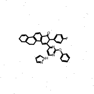 O=C1c2ccc3c(c2C=C(c2ccnc(Oc4ccccc4)n2)C1c1ccc(F)cc1)CCC1=C3C=CCC1.c1cn[nH]c1